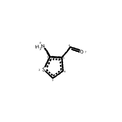 Nc1sccc1C=O